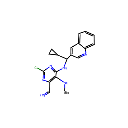 CCC(C)Nc1c(C=N)nc(Cl)nc1NC(c1cnc2ccccc2c1)C1CC1